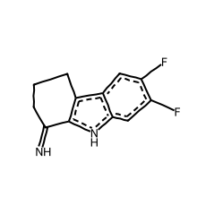 N=C1CCCc2c1[nH]c1cc(F)c(F)cc21